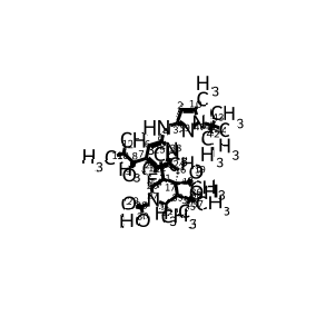 Cc1cc(Nc2cc(C(=O)C(C)C)c(F)c(C[C@@]3(C(=O)O)C(C(C)(C)C)CN(C(=O)O)[C@H](C)C3C(C)(C)C)n2)nn1C(C)(C)C